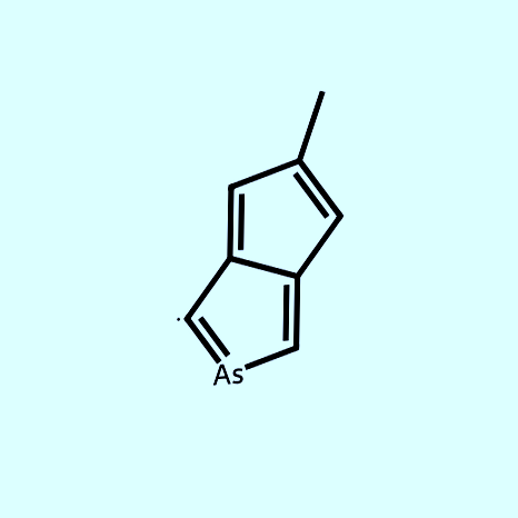 CC1=CC2=C[As]=[C]C2=C1